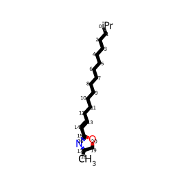 CC(C)CCCCCCCCCCCCC=CC1=NC(C)CO1